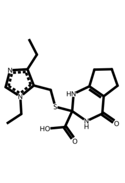 CCc1ncn(CC)c1CSC1(C(=O)O)NC(=O)C2=C(CCC2)N1